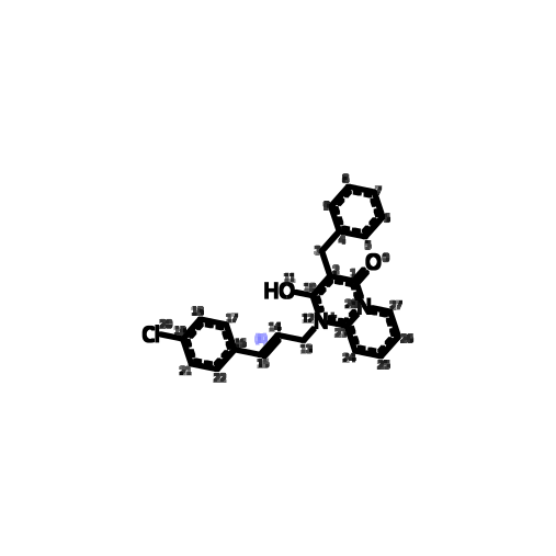 O=c1c(Cc2ccccc2)c(O)[n+](C/C=C/c2ccc(Cl)cc2)c2ccccn12